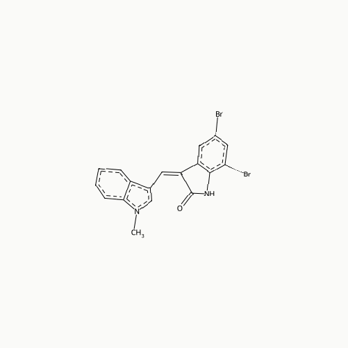 Cn1cc(C=C2C(=O)Nc3c(Br)cc(Br)cc32)c2ccccc21